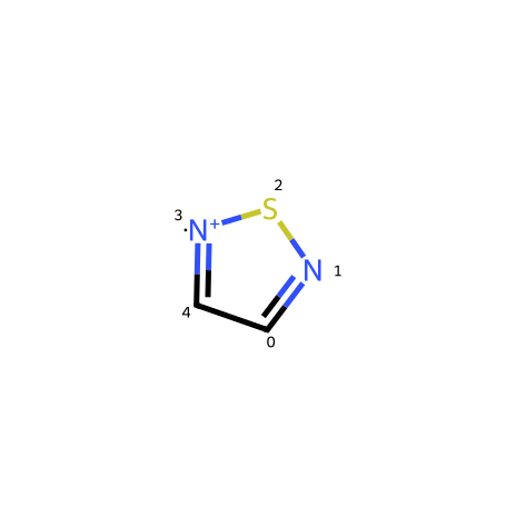 C1=NS[N+]=C1